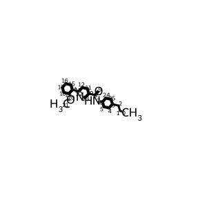 CCCc1ccc(NC(=O)c2ccc(-c3ccccc3OC)nc2)cc1